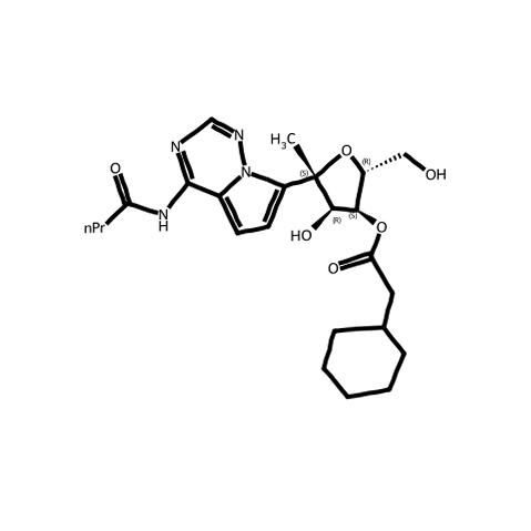 CCCC(=O)Nc1ncnn2c([C@]3(C)O[C@H](CO)[C@@H](OC(=O)CC4CCCCC4)[C@H]3O)ccc12